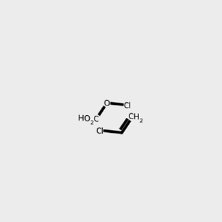 C=CCl.O=C(O)OCl